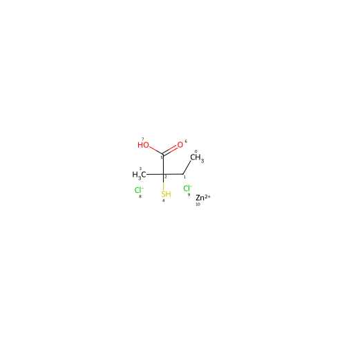 CCC(C)(S)C(=O)O.[Cl-].[Cl-].[Zn+2]